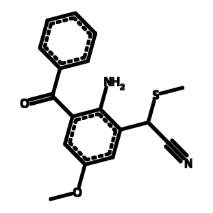 COc1cc(C(=O)c2ccccc2)c(N)c(C(C#N)SC)c1